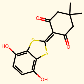 CC1(C)CC(=O)C(=C2Sc3c(O)ccc(O)c3S2)C(=O)C1